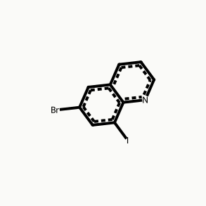 Brc1cc(I)c2ncccc2c1